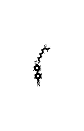 CC[C@@H](C)CCCCCCOc1ccc(-c2ccc(C#N)cc2)cc1